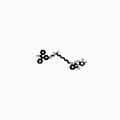 CCC(=C(c1ccccc1)c1ccc(OCCN(C)C(=O)CCCCCCCNc2cccc3c2C(=O)N(C2CCC(=O)NC2=O)C3=O)cc1)c1ccccc1